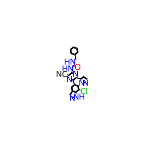 Cn1ccc(-c2nc(NC(=O)NCc3ccccc3)c(C#N)nc2-c2cc(Cl)c3[nH]ncc3c2)n1